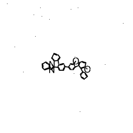 c1ccc2c(c1)nc1c3ccc(-c4ccc5c(c4)oc4ccc6oc7ccccc7c6c45)cc3c3ccccc3n21